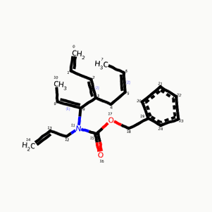 C=C/C=C(C/C=C\C)\C(=C/C)N(CC=C)C(=O)OCc1ccccc1